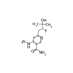 CC(C)Nc1cc(CC(F)C(C)(C)O)ncc1C(N)=O